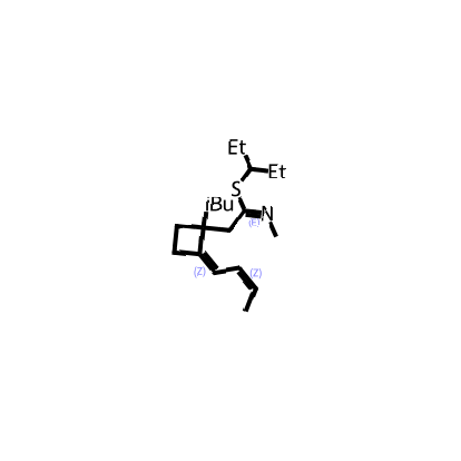 C/C=C\C=C1\CCC1(C/C(=N\C)SC(CC)CC)C(C)CC